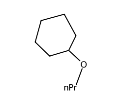 [CH2]CCOC1CCCCC1